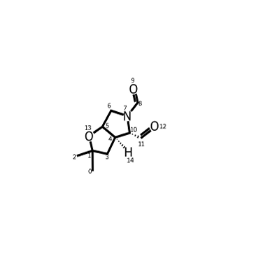 CC1(C)C[C@H]2C(CN(C=O)[C@@H]2C=O)O1